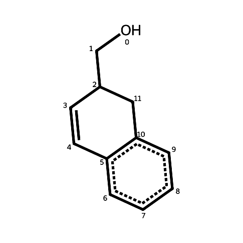 OCC1C=Cc2ccccc2C1